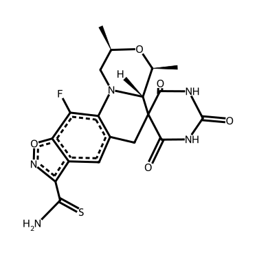 C[C@@H]1CN2c3c(cc4c(C(N)=S)noc4c3F)CC3(C(=O)NC(=O)NC3=O)[C@H]2[C@H](C)O1